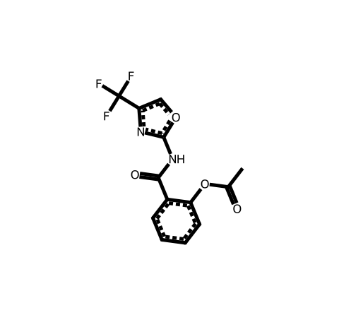 CC(=O)Oc1ccccc1C(=O)Nc1nc(C(F)(F)F)co1